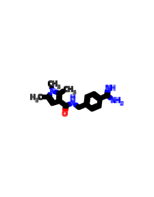 Cc1cc(C(=O)NCc2ccc(C(=N)N)cc2)c(C)n1C